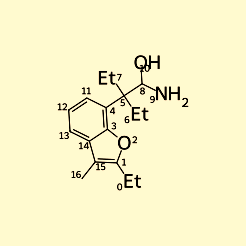 CCc1oc2c(C(CC)(CC)C(N)O)cccc2c1C